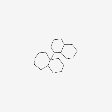 C1CCC2CCCCC2([C]2CCCC3CCCCC23)CC1